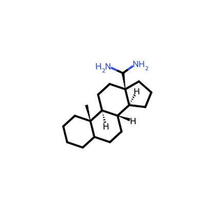 C[C@]12CCCCC1CC[C@H]1[C@@H]3CCC[C@@]3(C(N)N)CC[C@@H]12